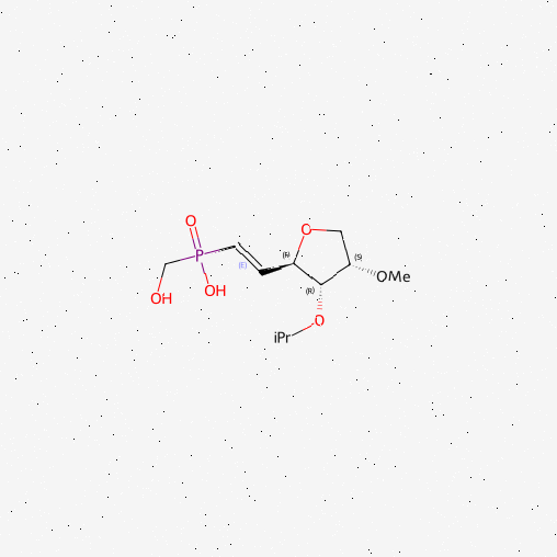 CO[C@H]1CO[C@H](/C=C/P(=O)(O)CO)[C@H]1OC(C)C